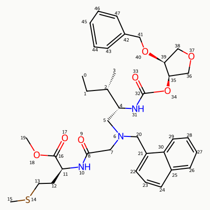 CC[C@H](C)[C@@H](CN(CC(=O)N[C@@H](CCSC)C(=O)OC)Cc1cccc2ccccc12)NC(=O)O[C@@H]1COC[C@@H]1OCc1ccccc1